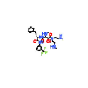 CNCCN(CCNC)C(=O)[C@@H](O)C(NC)C(=O)N[C@@H](CCc1ccccc1)C(=O)Nc1cccc(C(F)(F)F)c1